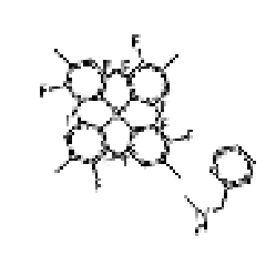 C[NH+](C)Cc1ccccc1.Cc1cc(F)c([B-](c2c(F)cc(C)c(F)c2F)(c2c(F)cc(C)c(F)c2F)c2c(F)cc(C)c(F)c2F)c(F)c1F